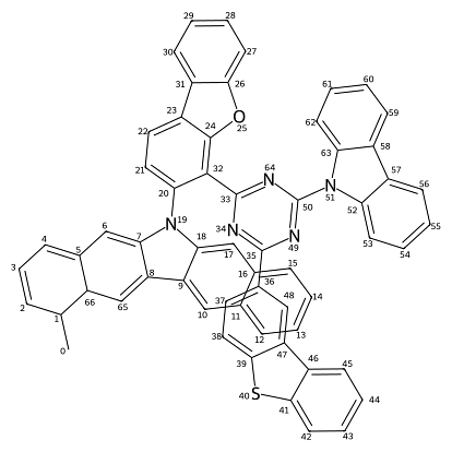 CC1C=CC=C2C=c3c(c4cc5ccccc5cc4n3-c3ccc4c(oc5ccccc54)c3-c3nc(-c4ccc5sc6ccccc6c5c4)nc(-n4c5ccccc5c5ccccc54)n3)=CC21